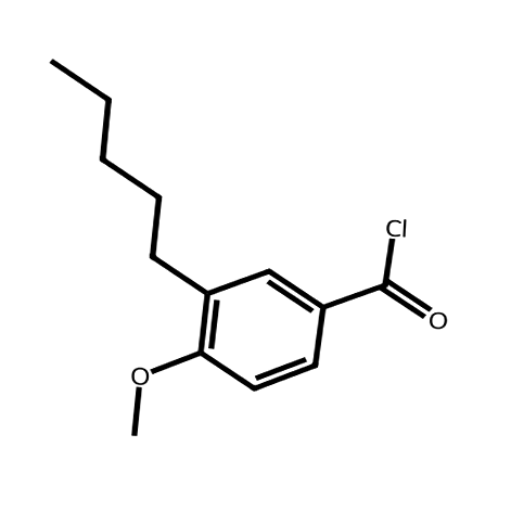 CCCCCc1cc(C(=O)Cl)ccc1OC